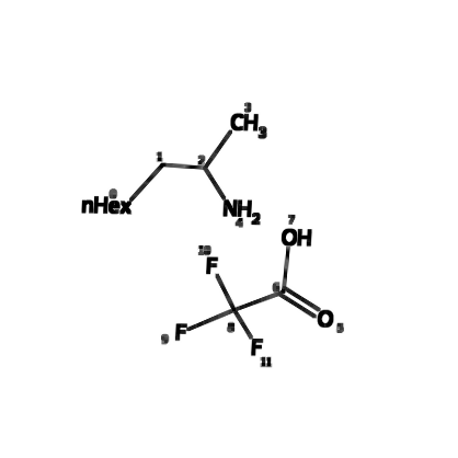 CCCCCCCC(C)N.O=C(O)C(F)(F)F